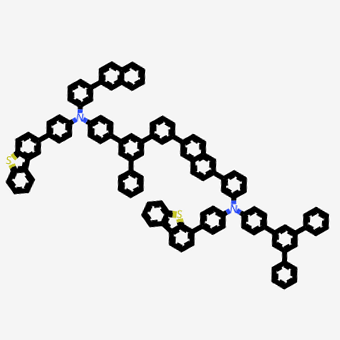 c1ccc(-c2cc(-c3ccccc3)cc(-c3ccc(N(c4ccc(-c5cccc6c5sc5ccccc56)cc4)c4cccc(-c5ccc6cc(-c7cccc(-c8cc(-c9ccccc9)cc(-c9ccc(N(c%10ccc(-c%11ccc%12sc%13ccccc%13c%12c%11)cc%10)c%10cccc(-c%11ccc%12ccccc%12c%11)c%10)cc9)c8)c7)ccc6c5)c4)cc3)c2)cc1